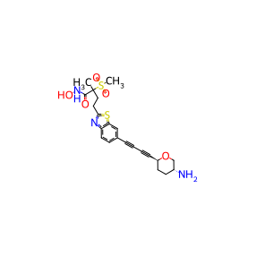 CC(CCc1nc2ccc(C#CC#C[C@@H]3CC[C@@H](N)CO3)cc2s1)(C(=O)NO)S(C)(=O)=O